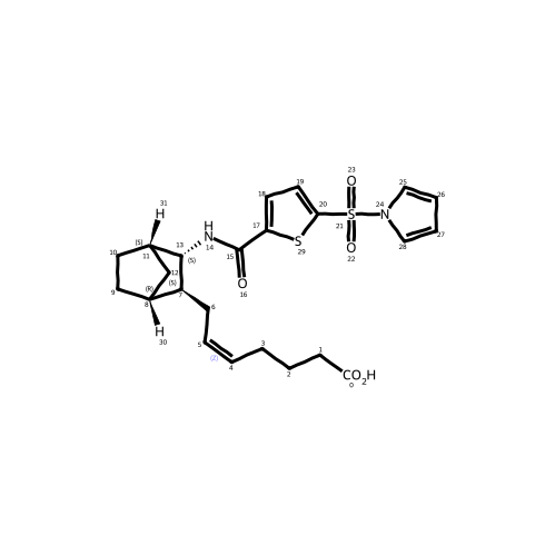 O=C(O)CCC/C=C\C[C@H]1[C@@H]2CC[C@@H](C2)[C@@H]1NC(=O)c1ccc(S(=O)(=O)n2cccc2)s1